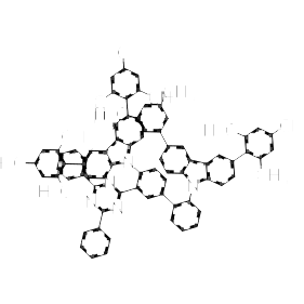 Cc1cc(C)cc(-c2ccc3c(c2)c2cc(-c4c(C)cc(C)cc4C)ccc2n3-c2ccccc2-c2ccc(-n3c4ccc(-c5c(C)cc(C)cc5C)cc4c4cc(-c5c(C)cc(C)cc5C)ccc43)c(-c3nc(-c4ccccc4)nc(-c4ccccc4)n3)c2)c1